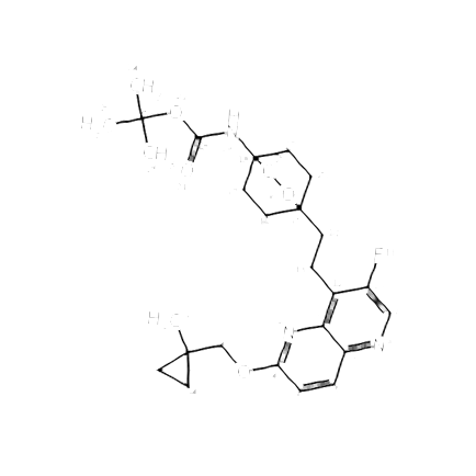 CC1(COc2ccc3ncc(F)c(CCC45CCC(NC(=O)OC(C)(C)C)(CC4)CO5)c3n2)CC1